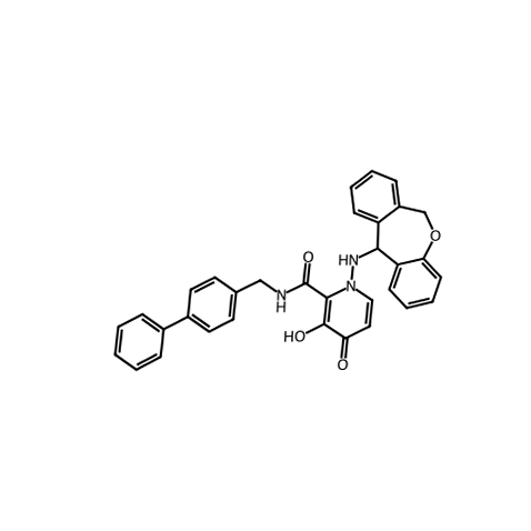 O=C(NCc1ccc(-c2ccccc2)cc1)c1c(O)c(=O)ccn1NC1c2ccccc2COc2ccccc21